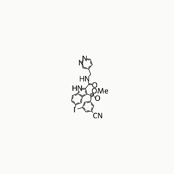 COP(=O)(c1cc(C)cc(C#N)c1)c1c(C(=O)NCc2ccnnc2)[nH]c2ccc(I)cc12